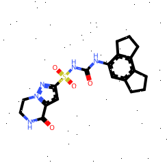 O=C(Nc1cc2c(c3c1CCC3)CCC2)NS(=O)(=O)c1cc2n(n1)CCNC2=O